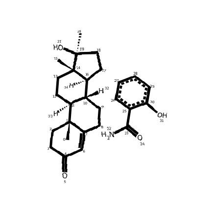 C[C@]12CCC(=O)C=C1CC[C@@H]1[C@@H]2CC[C@@]2(C)[C@H]1CC[C@]2(C)O.NC(=O)c1ccccc1O